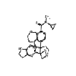 CN(C(=O)c1ccc(C2(NC3CCOCC3)CCN3CC2(c2ncc4c(n2)CC[SH]4)O3)cc1)C1CC1